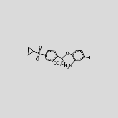 CCOC(=O)C(Oc1ccc(I)cc1N)c1ccc(S(=O)(=O)C2CC2)cc1